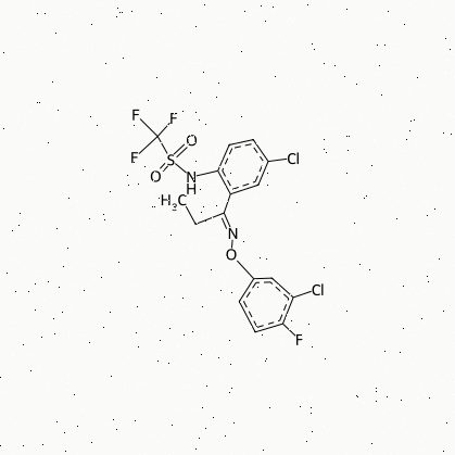 CC/C(=N\Oc1ccc(F)c(Cl)c1)c1cc(Cl)ccc1NS(=O)(=O)C(F)(F)F